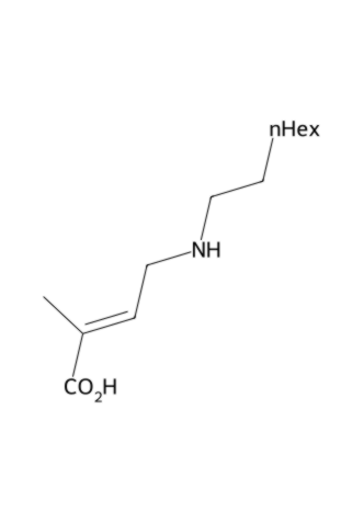 CCCCCCCCNCC=C(C)C(=O)O